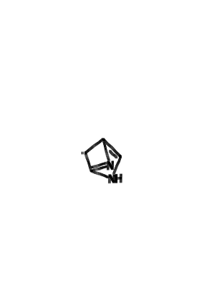 [CH]1c2c[nH]c1n2